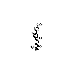 COc1cnc(-c2cc3[nH]c(CNC(=O)C4(N)CC4)cc3cc2Cl)cn1